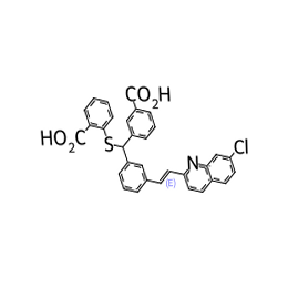 O=C(O)c1cccc(C(Sc2ccccc2C(=O)O)c2cccc(/C=C/c3ccc4ccc(Cl)cc4n3)c2)c1